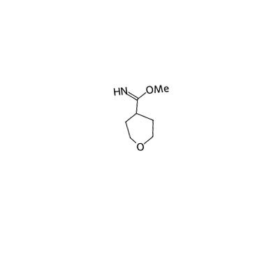 COC(=N)C1CCOCC1